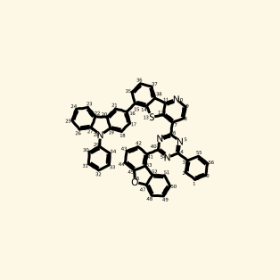 c1ccc(-c2nc(-c3ccnc4c3sc3c(-c5ccc6c(c5)c5ccccc5n6-c5ccccc5)cccc34)nc(-c3cccc4oc5ccccc5c34)n2)cc1